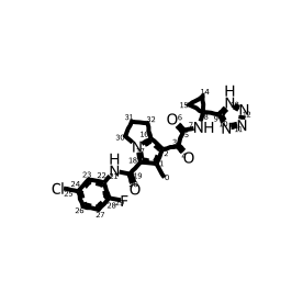 Cc1c(C(=O)C(=O)NC2(c3nnn[nH]3)CC2)c2n(c1C(=O)Nc1cc(Cl)ccc1F)CCC2